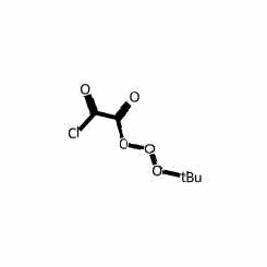 CC(C)(C)OOOC(=O)C(=O)Cl